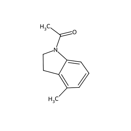 CC(=O)N1CCc2c(C)cccc21